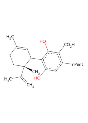 C=C(C)[C@]1(C)CCC(C)=CC1c1c(O)cc(CCCCC)c(C(=O)O)c1O